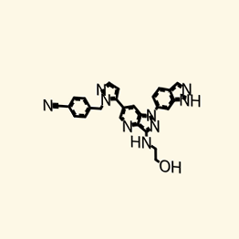 N#Cc1ccc(Cn2nccc2-c2cnc3c(NCCO)nn(-c4ccc5cn[nH]c5c4)c3c2)cc1